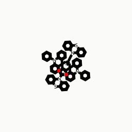 c1ccc(N2c3ccccc3C3(c4ccccc42)c2cc(N4c5ccccc5Sc5ccccc54)sc2C2(c4ccccc4N(c4ccccc4)c4ccccc42)c2cc(N4c5ccccc5Sc5ccccc54)sc23)cc1